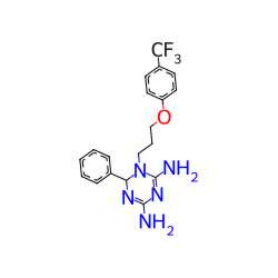 NC1=NC(c2ccccc2)N(CCCOc2ccc(C(F)(F)F)cc2)C(N)=N1